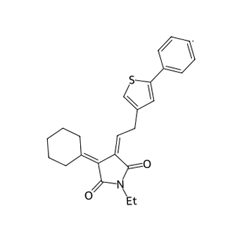 CCN1C(=O)C(=CCc2csc(-c3cc[c]cc3)c2)C(=C2CCCCC2)C1=O